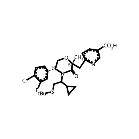 CC(C)(C)SCC(C1CC1)N1C(=O)[C@@](C)(Cc2ccc(C(=O)O)cn2)OC[C@H]1c1ccc(Cl)c(F)c1